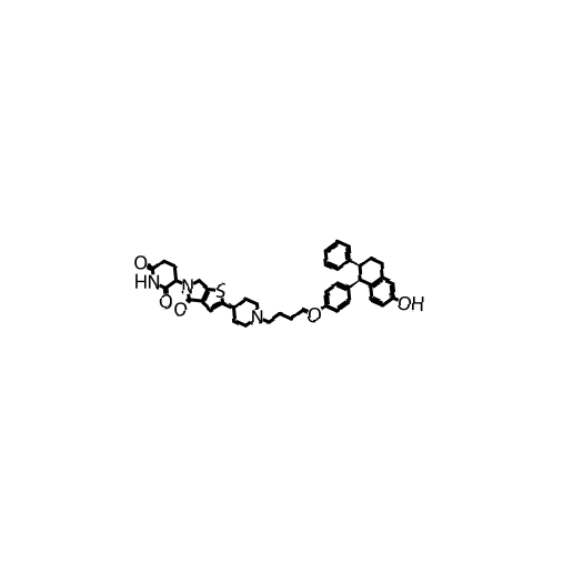 O=C1CCC(N2Cc3sc(C4CCN(CCCCOc5ccc([C@@H]6c7ccc(O)cc7CC[C@@H]6c6ccccc6)cc5)CC4)cc3C2=O)C(=O)N1